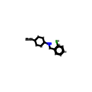 COC1CCC(NCc2ccccc2F)CC1